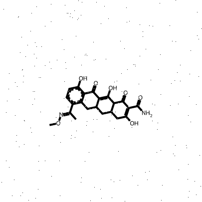 CO/N=C(\C)c1ccc(O)c2c1CC1CC3CC(O)=C(C(N)=O)C(=O)C3C(O)=C1C2=O